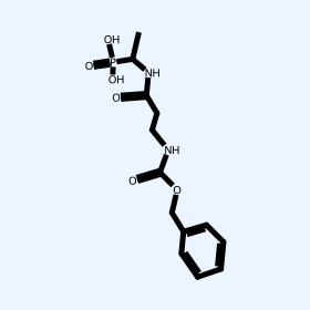 CC(NC(=O)CCNC(=O)OCc1ccccc1)P(=O)(O)O